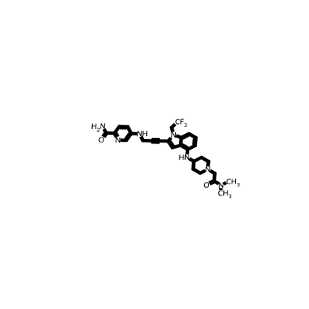 CN(C)C(=O)CN1CCC(Nc2cccc3c2cc(C#CCNc2ccc(C(N)=O)nc2)n3CC(F)(F)F)CC1